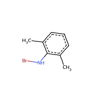 Cc1cccc(C)c1NBr